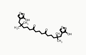 CC(C)(CCCC(=O)CCCC(=O)CCCC(C)(C)Cc1conc1O)Cc1conc1O